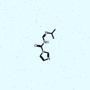 CC(C)/N=C\NC(=O)n1ccnc1